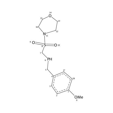 COc1ccc(CPCS(=O)(=O)N2CCOCC2)cc1